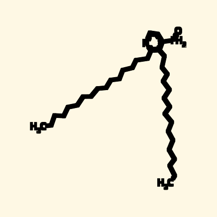 CCCCCCCCCCCCCCCCc1nccc([PH2]=O)c1CCCCCCCCCCCCCCCC